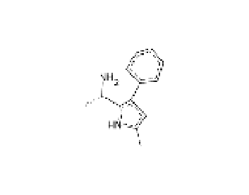 Cc1cc(-c2ccccc2)c([C@H](C)N)[nH]1